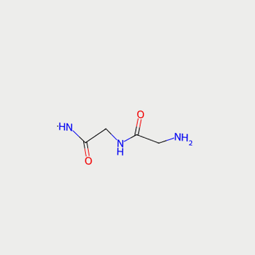 [NH]C(=O)CNC(=O)CN